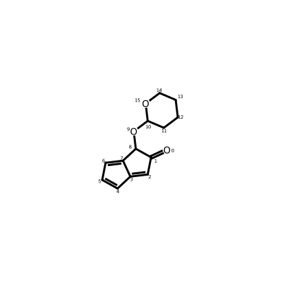 O=C1C=C2C=CC=C2C1OC1CCCCO1